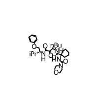 CCCC[C@H](NC(=O)C1(NC(=O)N2CCOCC2)CCCCC1)C(=O)C(=O)N[C@H](COc1ccccc1)C(C)C